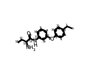 CCc1ccc(Oc2cccc(NC(=O)C(N)CC)c2)cc1